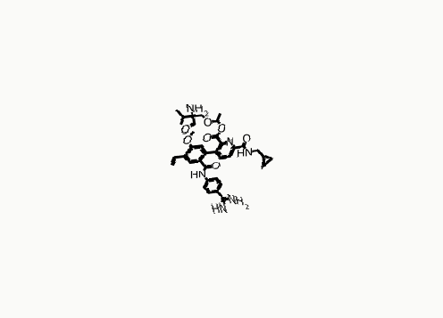 C=Cc1cc(C(=O)Nc2ccc(C(=N)N)cc2)c(-c2ccc(C(=O)NCC3CC3)nc2C(=O)OC(C)OC[C@](N)(C=O)C(C)C)cc1OC